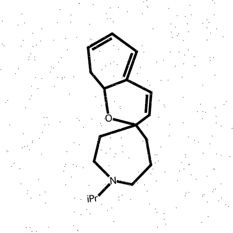 CC(C)N1CCCC2(C=CC3=CC=CCC3O2)CC1